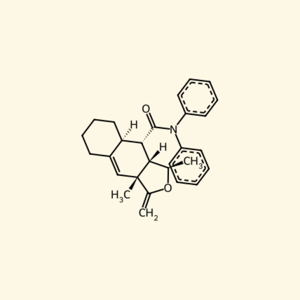 C=C1O[C@H](C)[C@H]2[C@@H](C(=O)N(c3ccccc3)c3ccccc3)[C@@H]3CCCCC3=C[C@@]12C